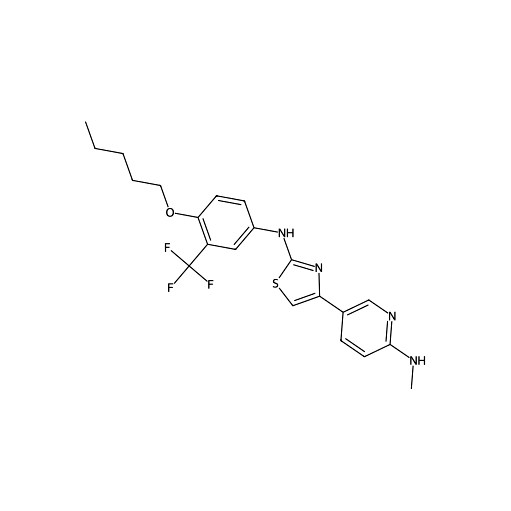 CCCCCOc1ccc(Nc2nc(-c3ccc(NC)nc3)cs2)cc1C(F)(F)F